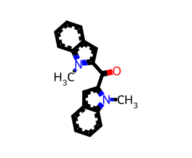 Cn1c(C(=O)c2cc3ccccc3n2C)cc2ccccc21